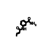 CC=CC(=O)Nc1cccc(C(N)=O)c1